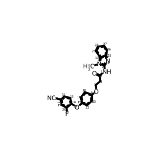 Cn1c(NC(=O)CCOc2ccc(Oc3ccc(C#N)cc3F)cc2)nc2ccccc21